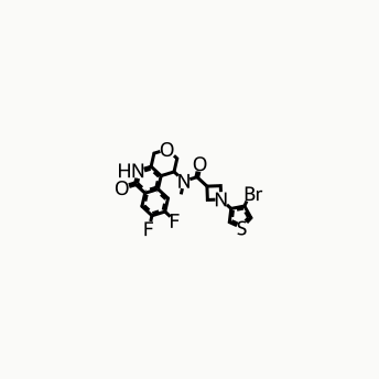 CN(C(=O)C1CN(c2cscc2Br)C1)C1COCc2[nH]c(=O)c3cc(F)c(F)cc3c21